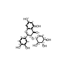 O=C1c2c(O)cc(O)cc2O[C@H](c2ccc(O)c(O)c2)[C@H]1O[C@@H]1OC[C@@H](O)[C@H](O)[C@H]1O